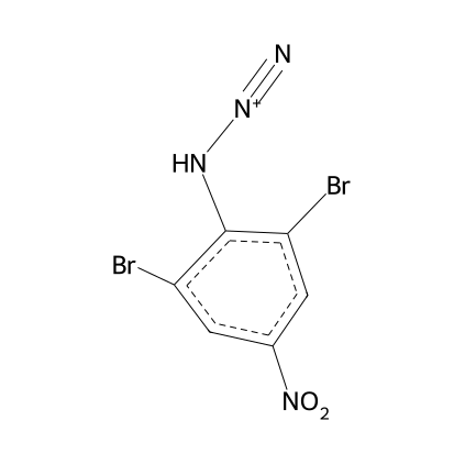 N#[N+]Nc1c(Br)cc([N+](=O)[O-])cc1Br